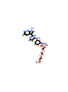 CCOCCOCCOCCS(=O)(=O)N[C@@H]1CCC[C@H](Nc2nc(-c3c[nH]c4ncc(F)cc34)ncc2F)C1